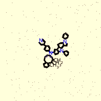 C=C1/C=C(N(c2ccc(-c3ccncc3)cc2)c2ccc3c(c2)c2ccc4c(ccn4-c4ccccc4)c2n3-c2ccccc2)\C=C/Cc2ccccc2C1(C)C